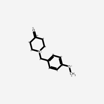 COc1ccc(CN2CCC(=O)CC2)cc1